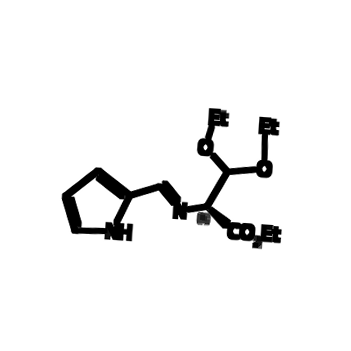 CCOC(=O)[C@@H](N=Cc1ccc[nH]1)C(OCC)OCC